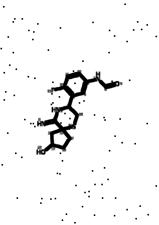 N=C1NC(c2cc(NC=O)ccc2F)CSC12CCC(O)C2